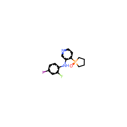 O=P1(c2ccncc2Nc2ccc(I)cc2F)CCCC1